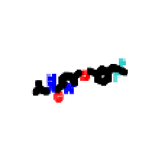 CC(C)CNC(=O)c1ccc(COCc2cccc(CC(C)(F)F)c2)cn1